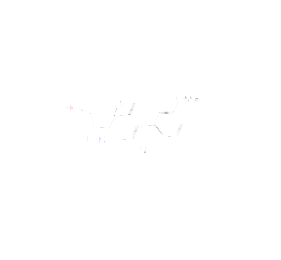 C=C1C(c2cccc(OC)c2)=C([Si](C)(C)C)C[C@@]2(N)C[C@@H](O)C[C@H]12